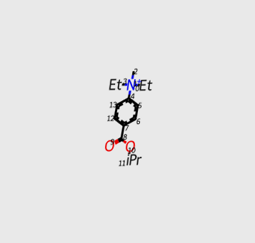 CC[N+](C)(CC)c1ccc(C(=O)OC(C)C)cc1